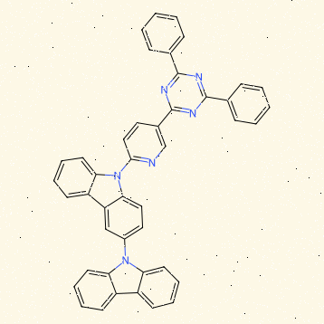 c1ccc(-c2nc(-c3ccccc3)nc(-c3ccc(-n4c5ccccc5c5cc(-n6c7ccccc7c7ccccc76)ccc54)nc3)n2)cc1